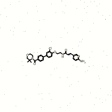 CC1(C)COCCN1C(=O)c1ccc(-c2ccc(OCCNC(=O)/C=C/c3ccc(N)nc3)c(Cl)c2)cc1